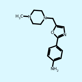 CN1CCN(Cc2cnc(-c3ccc(N)cc3)o2)CC1